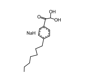 CCCCCCCc1ccc(C(=O)C(O)O)cc1.[NaH]